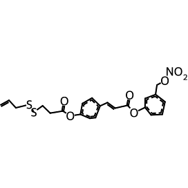 C=CCSSCCC(=O)Oc1ccc(/C=C/C(=O)Oc2cccc(CO[N+](=O)[O-])c2)cc1